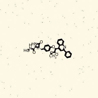 COC(=O)C(Oc1ccc(C[C@H]2C(=O)N[C@@H]2C(=O)NO)cc1)c1cc(-c2ccccc2)nc2ccccc12